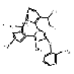 Cc1cc(-c2n(-c3c(C(C)C)cccc3C(C)C)cc(Oc3ccccc3C)[n+]2C)n(C)n1